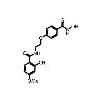 COc1ccc(C(=O)NCCOc2ccc(C(=S)NO)cc2)c(C)c1